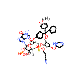 COc1ccc(C(OC[C@H]2C[C@@H](Oc3ccncn3)C[C@@H]2OP(=S)(OCCC#N)OC[C@H]2O[C@@H](n3cnc4c(=O)[nH]cnc43)[C@H](O[PH](=O)O)[C@@H]2C)(c2ccccc2)c2ccc(OC)cc2)cc1